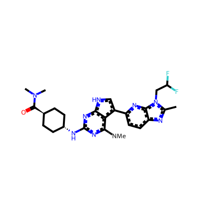 CNc1nc(N[C@H]2CC[C@H](C(=O)N(C)C)CC2)nc2[nH]cc(-c3ccc4nc(C)n(CC(F)F)c4n3)c12